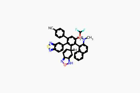 [2H]C1(c2c(-c3c(N(C)C)ccc4ccccc34)c(OC(F)F)[c]c(-c3ccc(C#N)cc3)c2-c2ccc3nsnc3c2)C=CC2=NONC2=C1